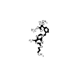 CCCCOc1nc(N)c2ncn(Cc3cccc(C(C)(OC)C(=O)OC)c3)c2n1